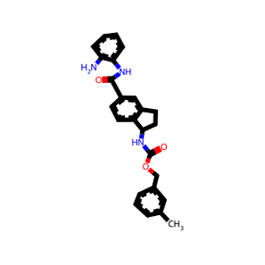 Cc1cccc(COC(=O)NC2CCc3cc(C(=O)Nc4ccccc4N)ccc32)c1